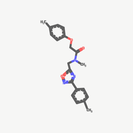 Cc1ccc(OCC(=O)N(C)Cc2nc(-c3ccc(C)cc3)no2)cc1